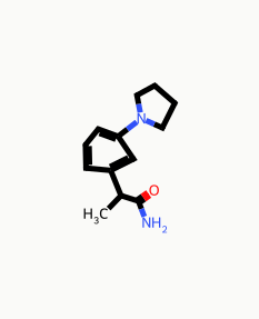 C[C](C(N)=O)c1cccc(N2CCCC2)c1